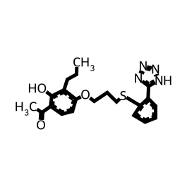 CCCc1c(OCCCSc2ccccc2-c2nnn[nH]2)ccc(C(C)=O)c1O